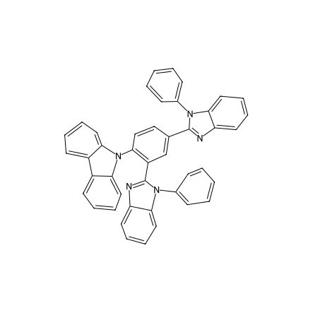 c1ccc(-n2c(-c3ccc(-n4c5ccccc5c5ccccc54)c(-c4nc5ccccc5n4-c4ccccc4)c3)nc3ccccc32)cc1